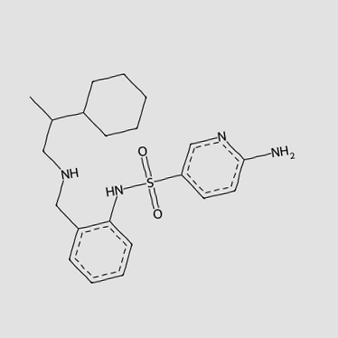 CC(CNCc1ccccc1NS(=O)(=O)c1ccc(N)nc1)C1CCCCC1